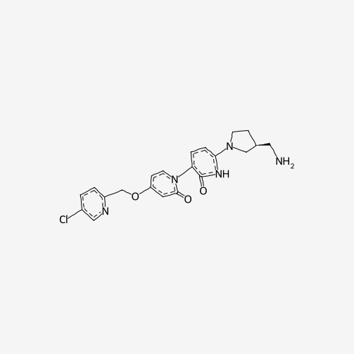 NC[C@@H]1CCN(c2ccc(-n3ccc(OCc4ccc(Cl)cn4)cc3=O)c(=O)[nH]2)C1